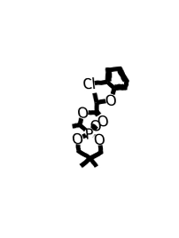 CC(Oc1ccccc1Cl)C(=O)OC(C)P1(=O)OCC(C)(C)CO1